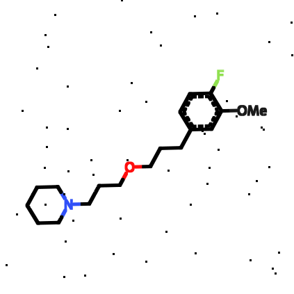 COc1cc(CCCOCCCN2CCCCC2)ccc1F